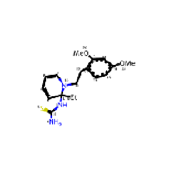 CCC1(NC(N)=S)C=CC=CN1CCc1ccc(OC)cc1OC